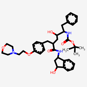 CC(C)(C)OC(=O)NC(Cc1ccccc1)C(O)CC(Cc1ccc(OCCN2CCOCC2)cc1)C(=O)NC1CC(O)c2ccccc21